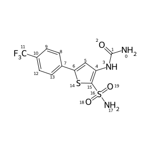 NC(=O)Nc1cc(-c2ccc(C(F)(F)F)cc2)sc1S(N)(=O)=O